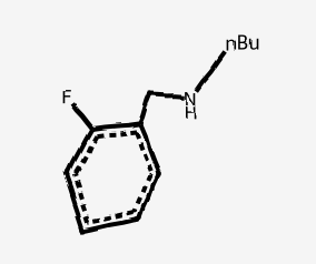 CCCCNCc1ccccc1F